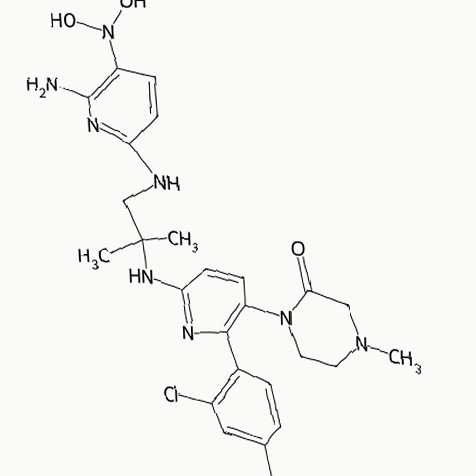 CN1CCN(c2ccc(NC(C)(C)CNc3ccc(N(O)O)c(N)n3)nc2-c2ccc(Cl)cc2Cl)C(=O)C1